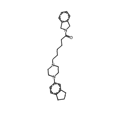 O=C(CCCCCN1CCN(c2ccc3c(c2)CCC3)CC1)N1Cc2ccccc2C1